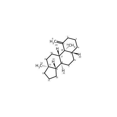 C=C1CCC[C@@H]2CC[C@H]3[C@@H]4CCC[C@@]4(C)CC[C@@H]3[C@@]12C